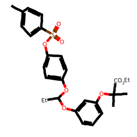 CCOC(=O)C(C)(C)Oc1cccc(OC(CC)Oc2ccc(OS(=O)(=O)c3ccc(C)cc3)cc2)c1